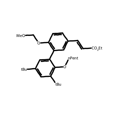 CCCCCOc1c(-c2cc(C=CC(=O)OCC)ccc2OCOC)cc(C(C)(C)C)cc1C(C)(C)C